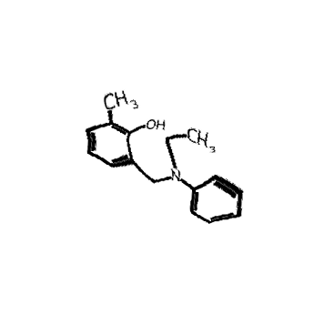 CCN(Cc1cccc(C)c1O)c1ccccc1